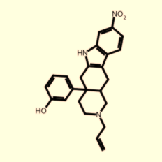 C=CCN1CCC2(c3cccc(O)c3)Cc3[nH]c4cc([N+](=O)[O-])ccc4c3CC2C1